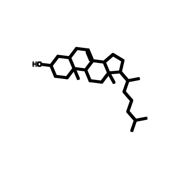 CC(C)CCCC(C)C1CCC2C3=CCC4CC(O)CCC4(C)C3CCC21C